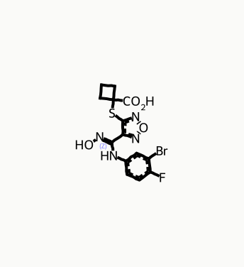 O=C(O)C1(Sc2nonc2/C(=N/O)Nc2ccc(F)c(Br)c2)CCC1